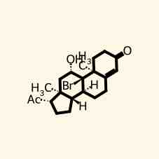 CC(=O)[C@H]1CC[C@H]2[C@@H]3CCC4=CC(=O)CC[C@]4(C)[C@@]3(Br)[C@@H](O)C[C@]12C